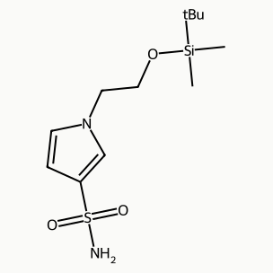 CC(C)(C)[Si](C)(C)OCCn1ccc(S(N)(=O)=O)c1